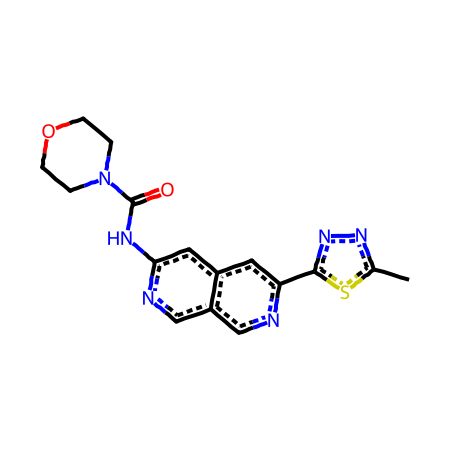 Cc1nnc(-c2cc3cc(NC(=O)N4CCOCC4)ncc3cn2)s1